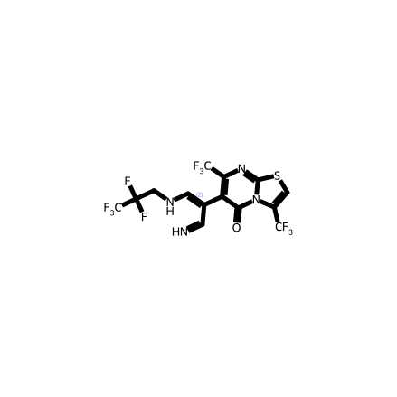 N=C/C(=C\NCC(F)(F)C(F)(F)F)c1c(C(F)(F)F)nc2scc(C(F)(F)F)n2c1=O